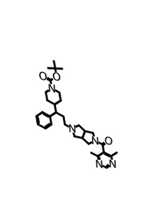 Cc1ncnc(C)c1C(=O)N1CC2CN(CCC(c3ccccc3)C3CCN(C(=O)OC(C)(C)C)CC3)CC2C1